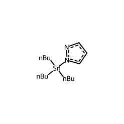 CCC[CH2][Sn]([CH2]CCC)([CH2]CCC)[n]1cccn1